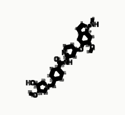 CNn1ccc2cc(Oc3ccnc(NC(=O)c4ccc(CN5C[C@H](OC)[C@@H](O)C5)cc4)c3)c(OC)cc21